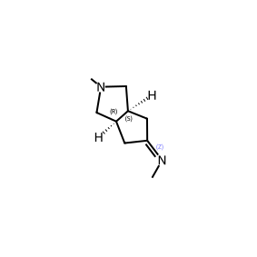 C/N=C1/C[C@@H]2CN(C)C[C@@H]2C1